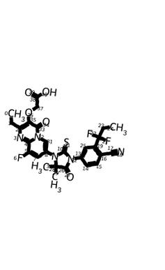 CCc1nc2c(F)cc(N3C(=S)N(c4ccc(C#N)c(C(F)(F)CC)c4)C(=O)C3(C)C)cn2c(=O)c1OCC(=O)O